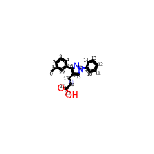 Cc1cccc(-c2nn(-c3ccccc3)cc2/C=C/C(=O)O)c1